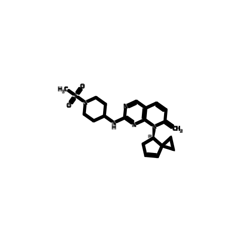 C=C1C=Cc2cnc(NC3CCN(S(C)(=O)=O)CC3)nc2N1[C@@H]1CC=CC12CC2